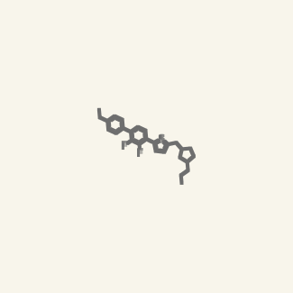 CCCC1CCC(Cc2ccc(-c3ccc(-c4ccc(CC)cc4)c(F)c3F)s2)C1